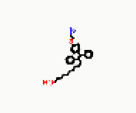 CN(C)CCOc1ccc(/C(=C(/C=C\CCCCCCCCO)c2ccccc2)c2ccccc2)cc1